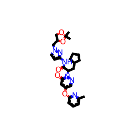 Cc1cccc(Oc2cnn(C(CC3CCCC3)C(=O)Nc3ccn(CC4COC(C)(C)O4)n3)c(=O)c2)n1